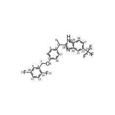 CC(c1ccc(OCc2cc(F)ccc2F)cc1)c1nc2cc(C(F)(F)F)ccc2[nH]1